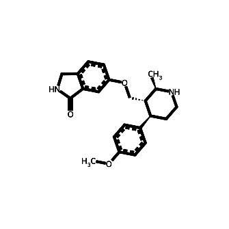 COc1ccc([C@@H]2CCN[C@H](C)[C@H]2COc2ccc3c(c2)C(=O)NC3)cc1